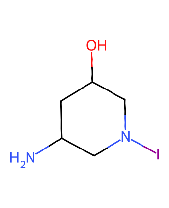 NC1CC(O)CN(I)C1